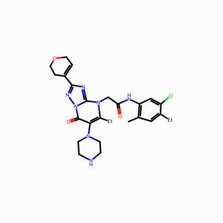 CCc1cc(C)c(NC(=O)Cn2c(CC)c(N3CCNCC3)c(=O)n3nc(C4=CCOCC4)nc23)cc1Cl